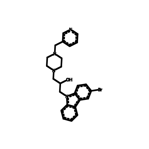 OC(CN1CCN(Cc2cccnc2)CC1)Cn1c2ccccc2c2cc(Br)ccc21